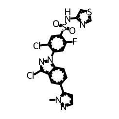 Cn1nccc1-c1ccc2c(c1)c(Cl)nn2-c1cc(F)c(S(=O)(=O)Nc2cscn2)cc1Cl